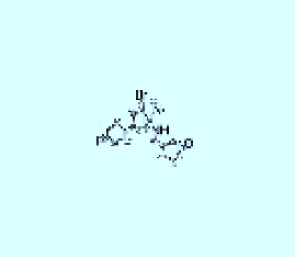 [O-][n+]1cccc(CNc2cc(-c3ccc(F)cc3)nc3c(Br)cnn23)c1